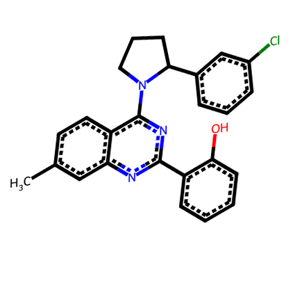 Cc1ccc2c(N3CCCC3c3cccc(Cl)c3)nc(-c3ccccc3O)nc2c1